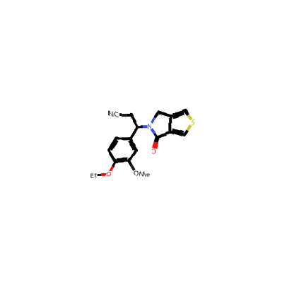 CCOc1ccc(C(CC#N)N2Cc3cscc3C2=O)cc1OC